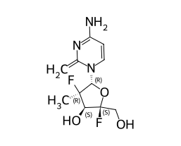 C=C1N=C(N)C=CN1[C@@H]1O[C@](F)(CO)[C@@H](O)[C@@]1(C)F